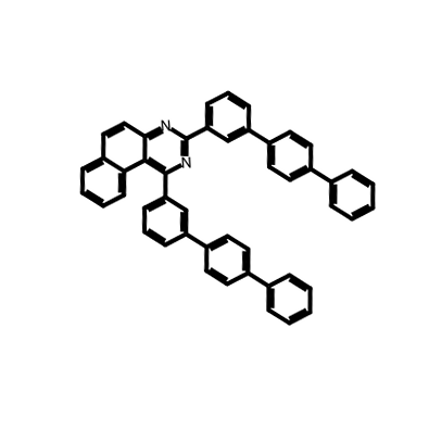 c1ccc(-c2ccc(-c3cccc(-c4nc(-c5cccc(-c6ccc(-c7ccccc7)cc6)c5)c5c(ccc6ccccc65)n4)c3)cc2)cc1